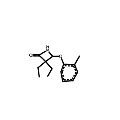 [CH2]c1ccccc1OC1NC(=O)C1(CC)CC